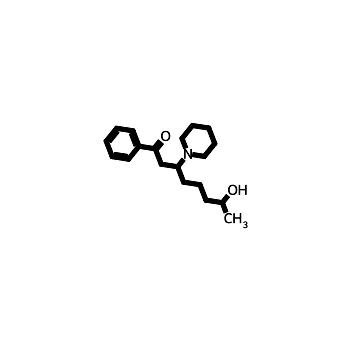 CC(O)CCCC(CC(=O)c1ccccc1)N1CCCCC1